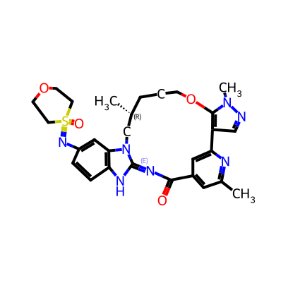 Cc1cc2cc(n1)-c1cnn(C)c1OCCC[C@@H](C)CN1/C(=N/C2=O)Nc2ccc(N=S3(=O)CCOCC3)cc21